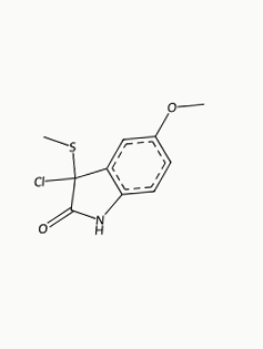 COc1ccc2c(c1)C(Cl)(SC)C(=O)N2